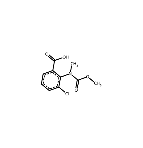 COC(=O)N(C)c1c(Cl)cccc1C(=O)O